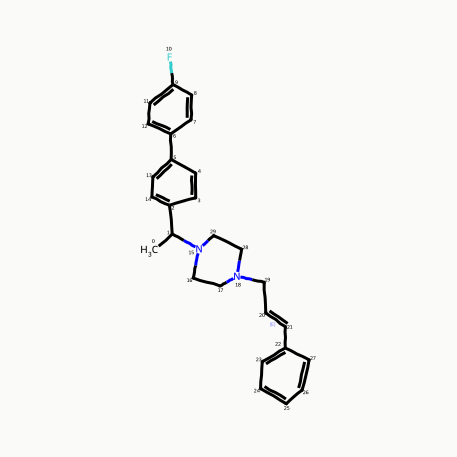 CC(c1ccc(-c2ccc(F)cc2)cc1)N1CCN(C/C=C/c2ccccc2)CC1